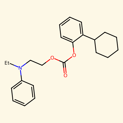 CCN(CCOC(=O)Oc1ccccc1C1CCCCC1)c1ccccc1